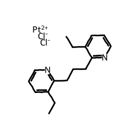 CCc1cccnc1CCCc1ncccc1CC.[Cl-].[Cl-].[Pt+2]